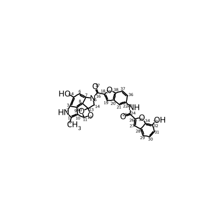 Cc1[nH]c2c(O)cc3c4c2c1C1OC4(CN3C(=O)c2cc3cc(NC(=O)c4cc5cccc(O)c5o4)ccc3o2)O1